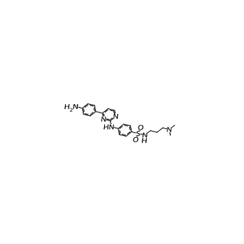 CN(C)CCCNS(=O)(=O)c1ccc(Nc2nccc(-c3ccc(N)cc3)n2)cc1